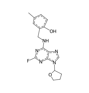 Cc1ccc(O)c(CNc2nc(F)nc3c2ncn3C2CCCO2)c1